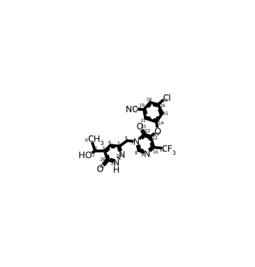 CC(O)c1cc(Cn2cnc(C(F)(F)F)c(Oc3cc(Cl)cc(C#N)c3)c2=O)n[nH]c1=O